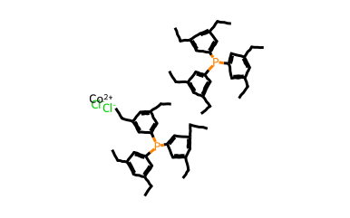 CCc1cc(CC)cc(P(c2cc(CC)cc(CC)c2)c2cc(CC)cc(CC)c2)c1.CCc1cc(CC)cc(P(c2cc(CC)cc(CC)c2)c2cc(CC)cc(CC)c2)c1.[Cl-].[Cl-].[Co+2]